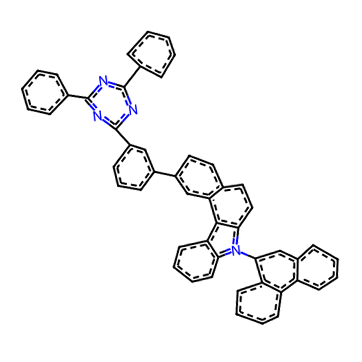 c1ccc(-c2nc(-c3ccccc3)nc(-c3cccc(-c4ccc5ccc6c(c5c4)c4ccccc4n6-c4cc5ccccc5c5ccccc45)c3)n2)cc1